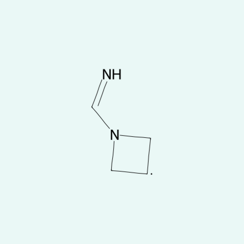 N=CN1C[CH]C1